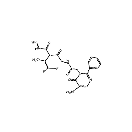 CCCNC(=O)C(C(=O)CNC(=O)Cn1c(-c2ccccc2)ncc(N)c1=O)C(C)C(F)F